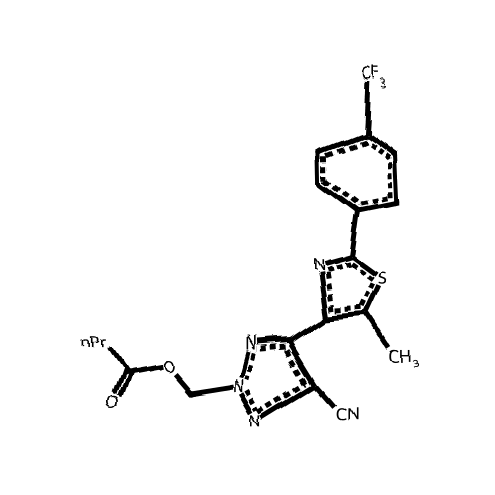 CCCC(=O)OCn1nc(C#N)c(-c2nc(-c3ccc(C(F)(F)F)cc3)sc2C)n1